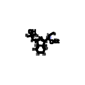 C/C=C(\OCC)c1nn(CC(C)(C)O)c2ccccc12